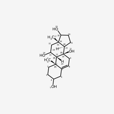 C[C@]12CCC(O)CC1=CC[C@]1(O)[C@H]2C(O)C[C@]2(C)C(O)CC[C@@H]12